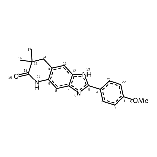 COc1ccc(-c2nc3cc4c(cc3[nH]2)CC(C)(C)C(=O)N4)cc1